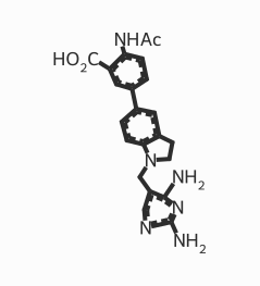 CC(=O)Nc1ccc(-c2ccc3c(c2)CCN3Cc2cnc(N)nc2N)cc1C(=O)O